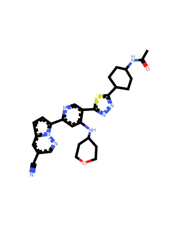 CC(=O)NC1CCC(c2nnc(-c3cnc(-c4ccc5cc(C#N)cnn45)cc3NC3CCOCC3)s2)CC1